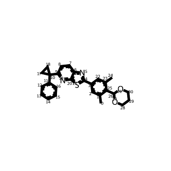 Cc1cc(-c2nc3ccc(C4(c5ccccc5)CC4)nc3s2)cc(C)c1C1OCCCO1